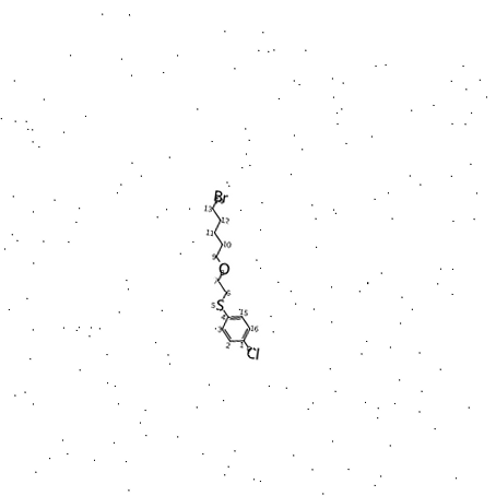 Clc1ccc(SCCOCCCCCBr)cc1